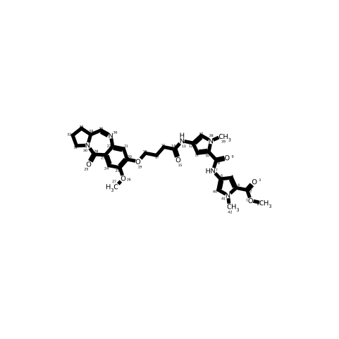 COC(=O)c1cc(NC(=O)c2cc(NC(=O)CCCOc3cc4c(cc3OC)C(=O)N3CCCC3C=N4)cn2C)cn1C